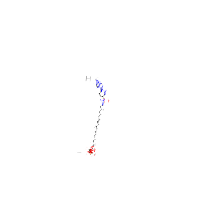 CN1CCN(c2ccc(C(=O)NCCCCCCCCCCCCCCCCCCOS(C)(=O)=O)cn2)CC1